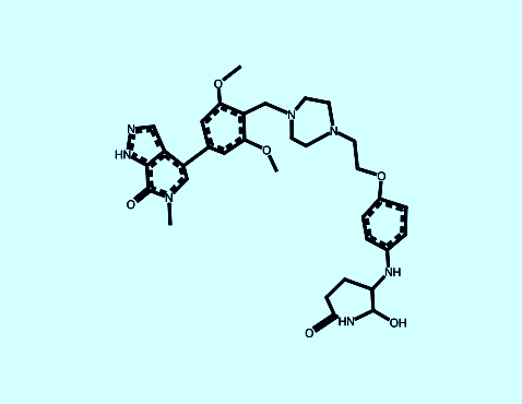 COc1cc(-c2cn(C)c(=O)c3[nH]ncc23)cc(OC)c1CN1CCN(CCOc2ccc(NC3CCC(=O)NC3O)cc2)CC1